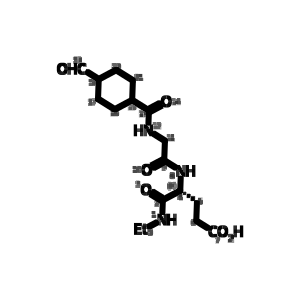 CCNC(=O)[C@@H](CCC(=O)O)NC(=O)CNC(=O)C1CCC(C=O)CC1